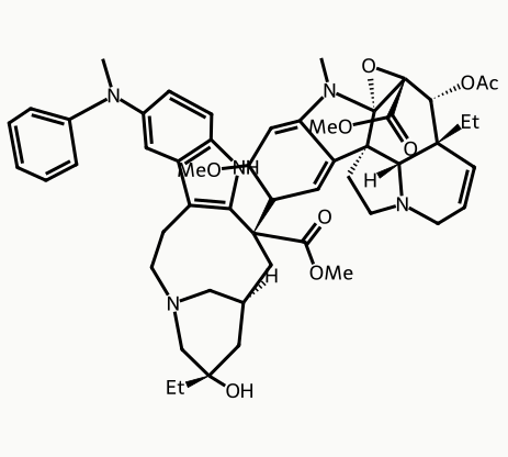 CC[C@]1(O)C[C@H]2CN(CCc3c([nH]c4ccc(N(C)c5ccccc5)cc34)[C@@](C(=O)OC)(C3C=C4C(=CC3OC)N(C)[C@@]35O[C@]3(C(=O)OC)[C@H](OC(C)=O)[C@]3(CC)C=CCN6CC[C@]45[C@@H]63)C2)C1